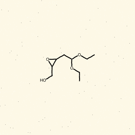 CCOC(CC1OC1CO)OCC